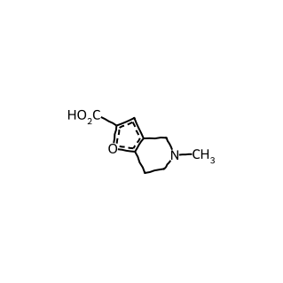 CN1CCc2oc(C(=O)O)cc2C1